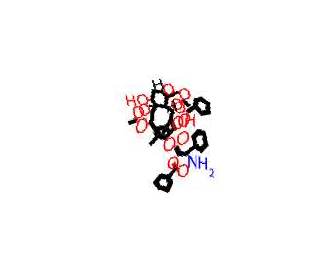 CC(=O)O[C@H]1C(=O)[C@@]2(C)[C@H]([C@H](OC(=O)c3ccccc3)[C@]3(O)C[C@H](OC(=O)[C@H](OC(=O)c4ccccc4)[C@@H](N)c4ccccc4)C(C)=C1C3(C)C)[C@]1(OC(C)=O)CO[C@@H]1C[C@@H]2O